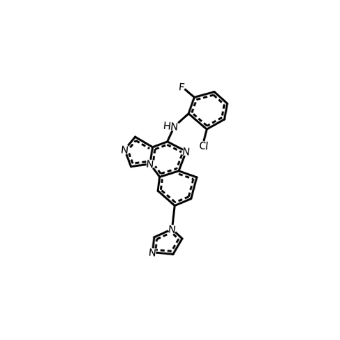 Fc1cccc(Cl)c1Nc1nc2ccc(-n3ccnc3)cc2n2cncc12